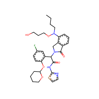 CCCCN(OCCCO)c1cccc2c1CN(C(C(=O)Nc1nccs1)c1cc(F)ccc1OC1CCCCO1)C2=O